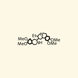 CCC1CN2CCc3cc(OC)c(OC)cc3C2CC1C1Cc2cc(OC)c(OC)cc2CCN1